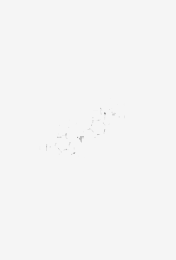 CC1(C)CC(c2cccc(NC3(C(=O)O)CC3)c2)Nc2c(C(=O)O)cc(Cl)cc21